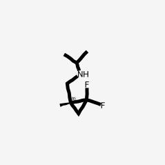 CC(C)NC[C@@]1(C)CC1(F)F